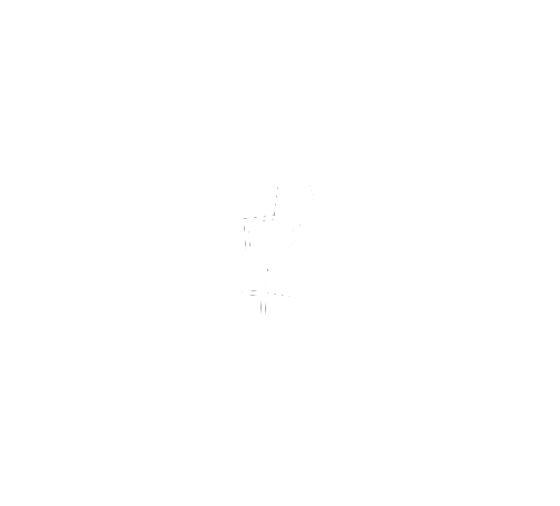 O=S(=O)(Cl)c1cc(S(=O)(=O)Cl)c(Cl)c(Cl)c1Cl